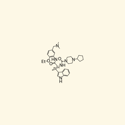 CCOc1ccc(CN(C)C)cc1NC(=O)[C@H](NC(=O)N1CCN(C2CCCC2)CC1)[C@H](C)c1c[nH]c2ccccc12